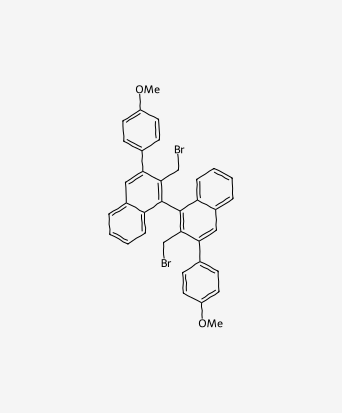 COc1ccc(-c2cc3ccccc3c(-c3c(CBr)c(-c4ccc(OC)cc4)cc4ccccc34)c2CBr)cc1